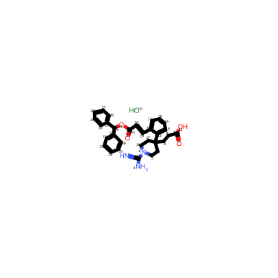 Cl.N=C(N)N1CCC(CCC(=O)O)(c2ccccc2C=CC(=O)OC(c2ccccc2)c2ccccc2)CC1